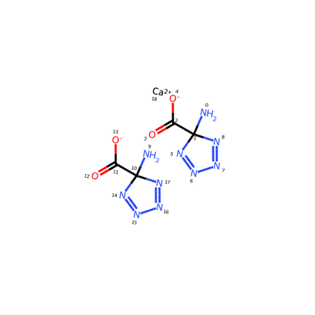 NC1(C(=O)[O-])N=NN=N1.NC1(C(=O)[O-])N=NN=N1.[Ca+2]